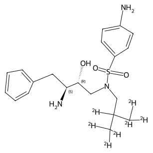 [2H]C([2H])([2H])C([2H])(CN(C[C@@H](O)[C@@H](N)Cc1ccccc1)S(=O)(=O)c1ccc(N)cc1)C([2H])([2H])[2H]